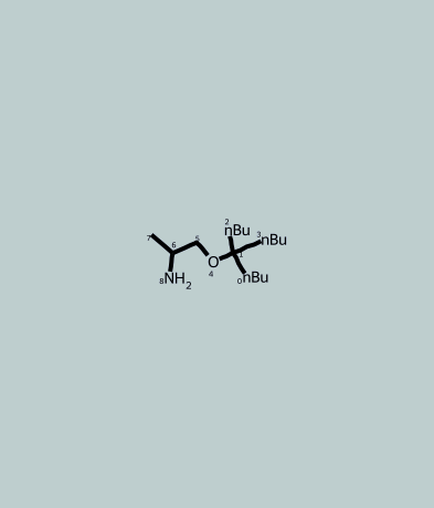 CCCCC(CCCC)(CCCC)OCC(C)N